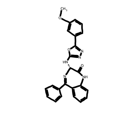 COc1cccc(-c2nnc(N[C@H]3N=C(c4ccccc4)c4ccccc4NC3=O)o2)c1